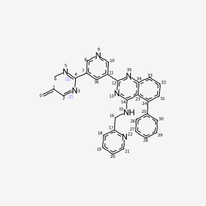 C=C/C=N\C(=N/C)c1cncc(-c2nc(NCc3ccccn3)c3c(-c4ccccc4)cccc3n2)c1